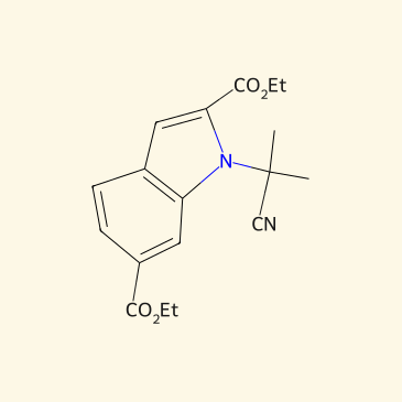 CCOC(=O)c1ccc2cc(C(=O)OCC)n(C(C)(C)C#N)c2c1